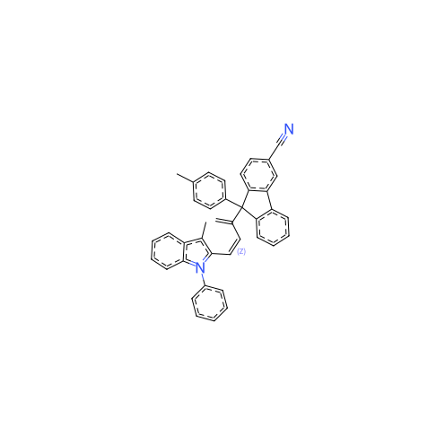 C=C(/C=C\c1c(C)c2ccccc2n1-c1ccccc1)C1(c2ccc(C)cc2)c2ccccc2-c2cc(C#N)ccc21